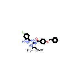 COCC(C)NC(=NC(=O)c1ccc(OCc2ccccc2)cc1)Nc1n[nH]c2cc(F)ccc12